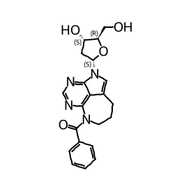 O=C(c1ccccc1)N1CCCc2cn([C@@H]3C[C@H](O)[C@@H](CO)O3)c3ncnc1c23